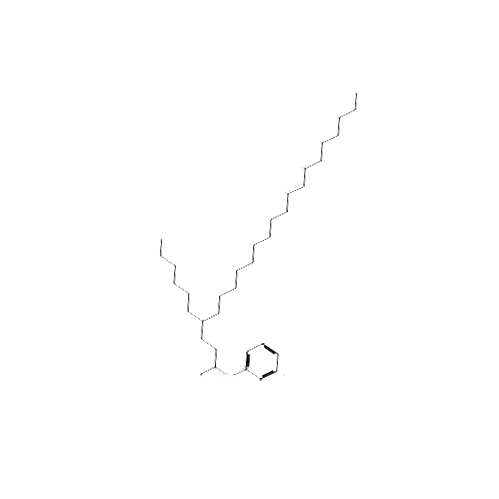 CCCCCCCCCCCCCCCCCCC(CCCCCC)CCC(C)Nc1ccccc1